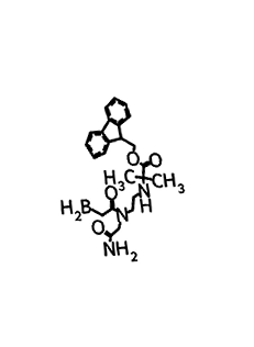 BCC(=O)N(CCNC(C)(C)C(=O)OCC1c2ccccc2-c2ccccc21)CC(N)=O